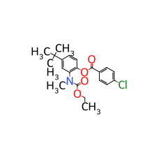 CCOC(=O)N(C)c1cc(C(C)(C)C)ccc1OC(=O)c1ccc(Cl)cc1